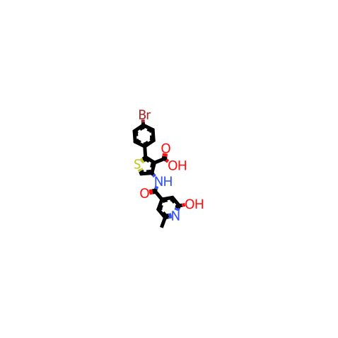 Cc1cc(C(=O)Nc2csc(-c3ccc(Br)cc3)c2C(=O)O)cc(O)n1